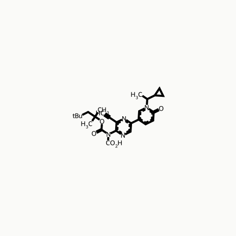 C#Cc1nc(-c2ccc(=O)n(C(C)C3CC3)c2)cnc1N(C(=O)O)C(=O)OC(C)(C)CC(C)(C)C